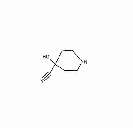 N#CC1(O)CCNCC1